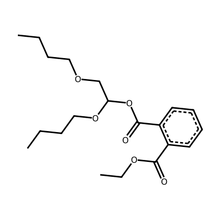 CCCCOCC(OCCCC)OC(=O)c1ccccc1C(=O)OCC